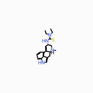 CCN(CC)C(=S)N[C@H]1C=C2c3cccc4[nH]cc(c34)C[C@H]2N(C)C1